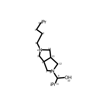 CC(C)CCCN1CC2CN(C(O)C(C)C)CC2C1